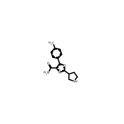 Cc1ccc(-c2oc(C3CCNC3)nc2C(N)=O)cc1